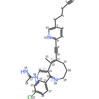 C#CCCCc1ccc(C#C/C2=C(C)/C(=C/NC(C)=N)C(/c3ccc(Cl)cc3)=N\CCC2)nc1